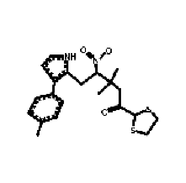 Cc1ccc(-c2cc[nH]c2CC([N+](=O)[O-])C(C)(C)CC(=O)C2SCCS2)cc1